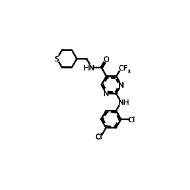 O=C(NCC1CCSCC1)c1cnc(Nc2ccc(Cl)cc2Cl)nc1C(F)(F)F